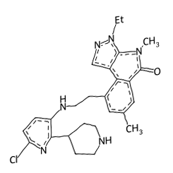 CCn1ncc2c3c(CCNc4ccc(Cl)nc4C4CCNCC4)cc(C)cc3c(=O)n(C)c21